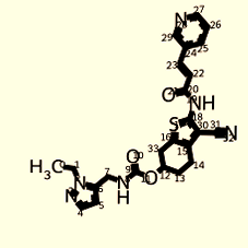 CCn1nccc1CNC(=O)OC1CCc2c(sc(NC(=O)C=Cc3cccnc3)c2C#N)C1